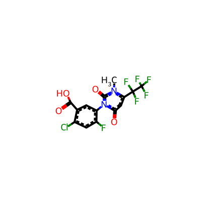 Cn1c(C(F)(F)C(F)(F)F)cc(=O)n(-c2cc(C(=O)O)c(Cl)cc2F)c1=O